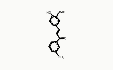 COc1cc(C=CC(=O)c2cccc(N)c2)ccc1O